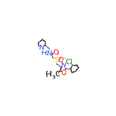 Cc1oc(-c2ccccc2Cl)nc1C[S+]([O-])CC(=O)NCc1ccccn1